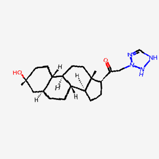 C[C@@]1(O)CC[C@H]2[C@@H](CC[C@@H]3[C@@H]2CC[C@]2(C)[C@@H](C(=O)CN4N=CNN4)CC[C@@H]32)C1